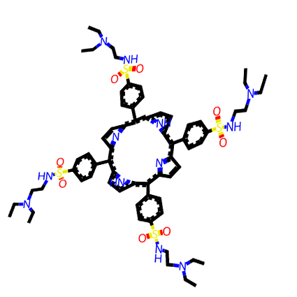 CCN(CC)CCNS(=O)(=O)c1ccc(-c2c3nc(c(-c4ccc(S(=O)(=O)NCCN(CC)CC)cc4)c4ccc([nH]4)c(-c4ccc(S(=O)(=O)NCCN(CC)CC)cc4)c4nc(c(-c5ccc(S(=O)(=O)NCCN(CC)CC)cc5)c5ccc2[nH]5)C=C4)C=C3)cc1